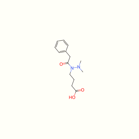 CN(C)N(CCCC(=O)O)C(=O)Cc1ccccc1